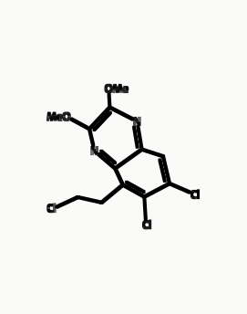 COc1nc2cc(Cl)c(Cl)c(CCCl)c2nc1OC